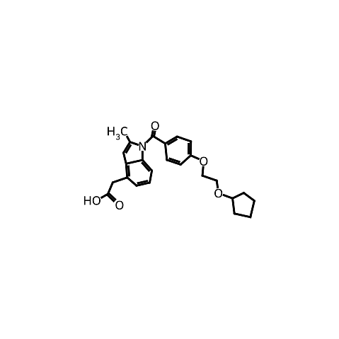 Cc1cc2c(CC(=O)O)cccc2n1C(=O)c1ccc(OCCOC2CCCC2)cc1